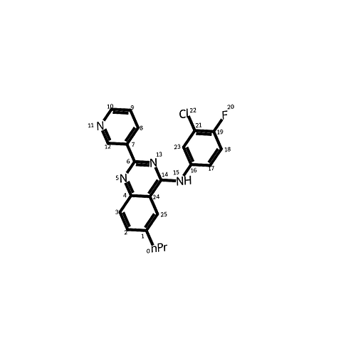 [CH2]CCc1ccc2nc(-c3cccnc3)nc(Nc3ccc(F)c(Cl)c3)c2c1